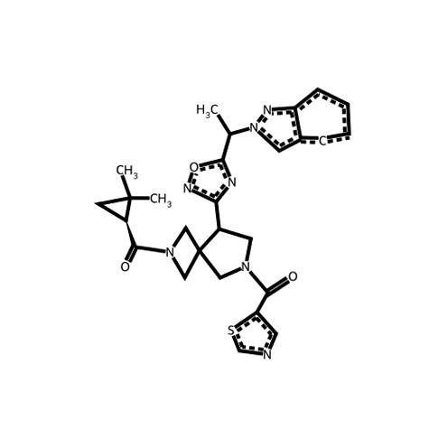 CC(c1nc(C2CN(C(=O)c3cncs3)CC23CN(C(=O)[C@H]2CC2(C)C)C3)no1)n1cc2ccccc2n1